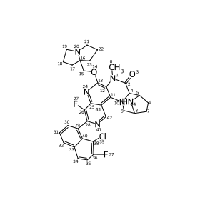 CN1C(=O)C2C3CCC(CN2c2c1c(OCC14CCCN1CCC4)nc1c(F)c(-c4cccc5ccc(F)c(Cl)c45)ncc21)N3